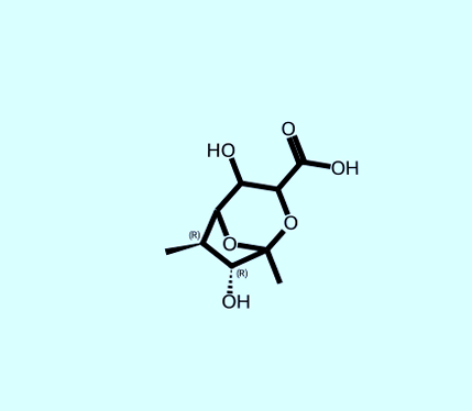 C[C@H]1C2OC(C)(OC(C(=O)O)C2O)[C@@H]1O